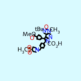 COC(=O)c1ccc(-c2c(-c3ccc(CN4CCC(S(C)(=O)=O)CC4)cc3)n(C(=O)O)c3ncc4c(c23)CN(C(C)(C)C)C(=O)N4C)cc1